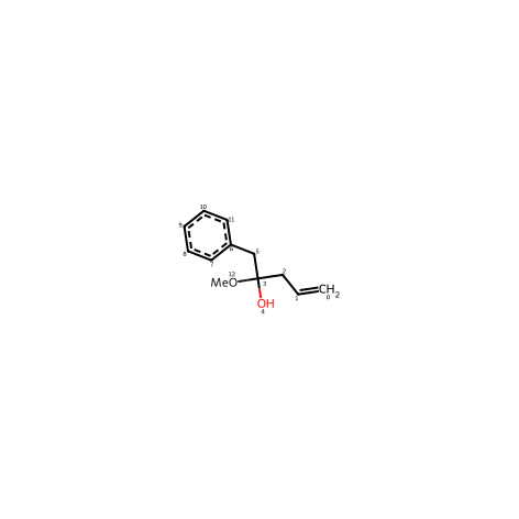 C=CCC(O)(Cc1ccccc1)OC